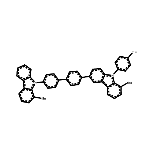 CC(C)(C)c1ccc(-n2c3ccc(-c4ccc(-c5ccc(-n6c7ccccc7c7cccc(C(C)(C)C)c76)cc5)cc4)cc3c3cccc(C(C)(C)C)c32)cc1